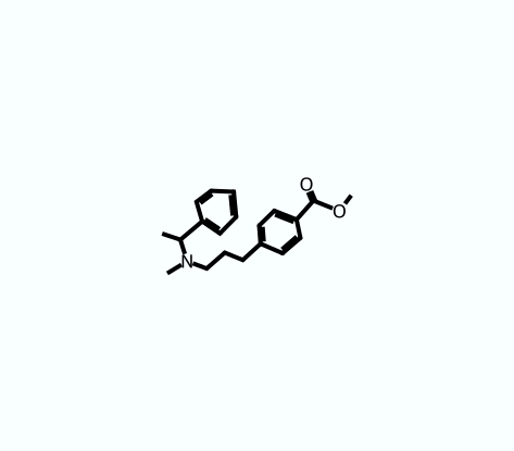 COC(=O)c1ccc(CCCN(C)C(C)c2ccccc2)cc1